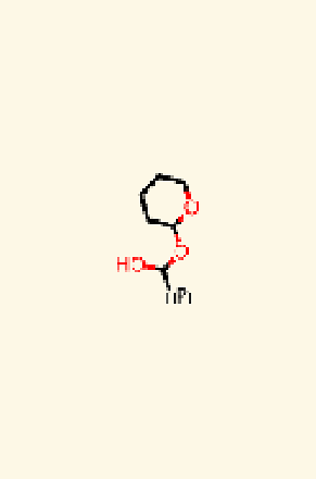 CCCC(O)OC1CCCCO1